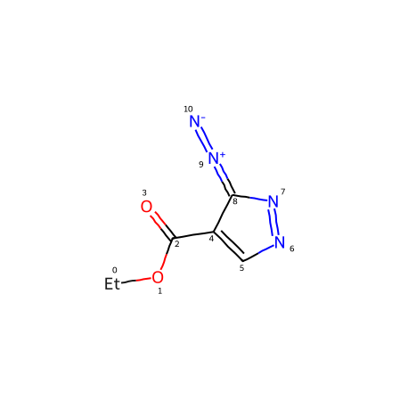 CCOC(=O)C1=CN=NC1=[N+]=[N-]